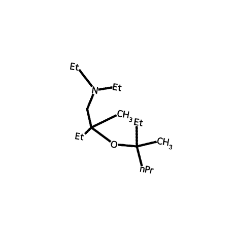 CCCC(C)(CC)OC(C)(CC)CN(CC)CC